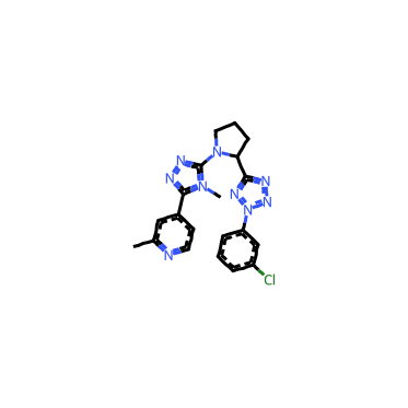 Cc1cc(-c2nnc(N3CCCC3c3nnn(-c4cccc(Cl)c4)n3)n2C)ccn1